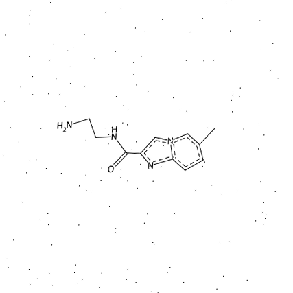 Cc1ccc2nc(C(=O)NCCN)cn2c1